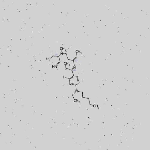 C/C=C(CCN(C)/C(C=N)=C/S)/N=C(\SC)c1ccc(N(CC)CCCCC)nc1F